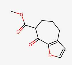 COC(=O)C1CCCc2ccoc2C1=O